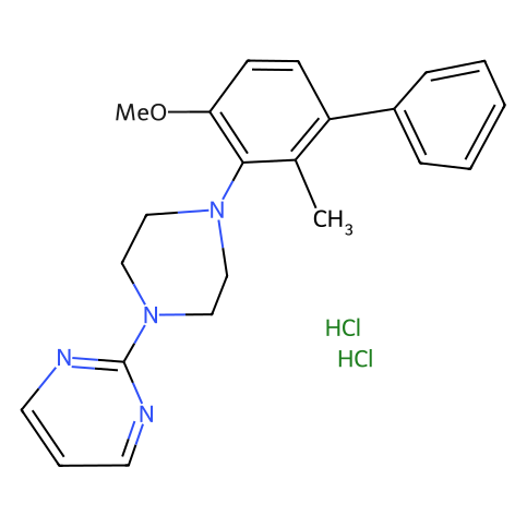 COc1ccc(-c2ccccc2)c(C)c1N1CCN(c2ncccn2)CC1.Cl.Cl